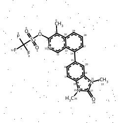 Cc1c(OS(=O)(=O)C(F)(F)F)ncc2c(-c3ccc4c(c3)n(C)c(=O)n4C)cccc12